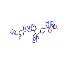 CCN(CC)C(=O)Nc1ccc(-c2nn(CC)cc2-c2ccnc3[nH]c(-c4ccc(CN5CCCC5)c(F)c4)cc23)cc1